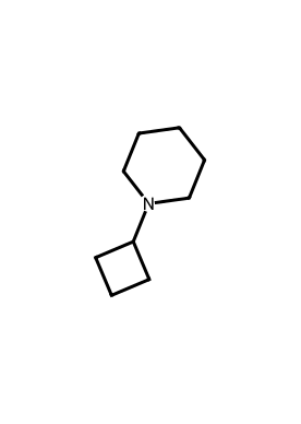 C1CCN(C2CCC2)CC1